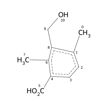 Cc1ccc(C(=O)O)c(C)c1CO